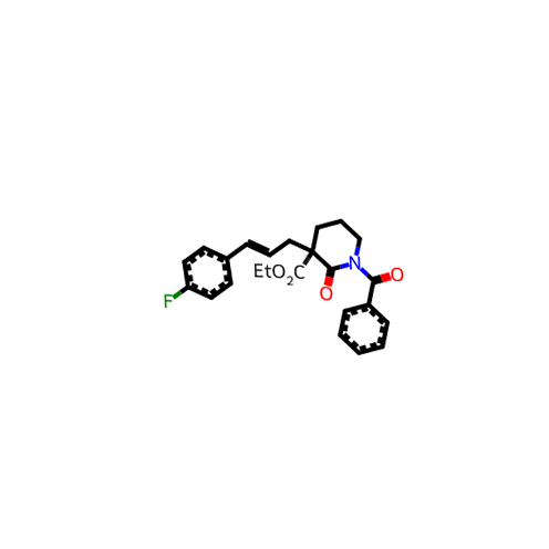 CCOC(=O)C1(CC=Cc2ccc(F)cc2)CCCN(C(=O)c2ccccc2)C1=O